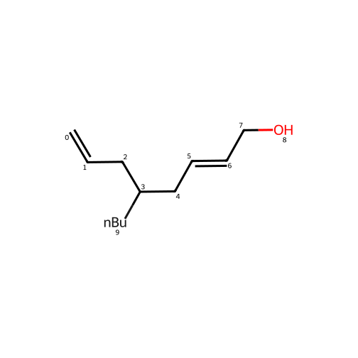 C=CCC(C/C=C/CO)CCCC